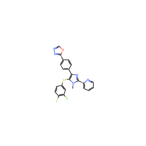 Cn1c(-c2ccccn2)nc(-c2ccc(-c3nnco3)cc2)c1Sc1ccc(F)c(F)c1